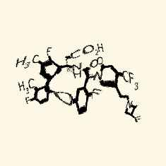 Cc1cc2cc(c1F)[C@H](CC(=O)O)NC(=O)[C@@H](n1cc(CCN3CC(F)C3)c(C(F)(F)F)cc1=O)c1cc(ccc1F)Oc1ccc(F)c(C)c1-2